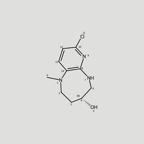 CN1CC[C@@H](O)CNc2nc(Cl)ccc21